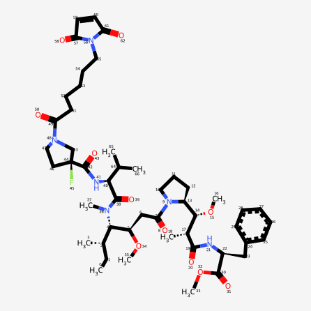 CC[C@H](C)[C@@H]([C@@H](CC(=O)N1CCC[C@H]1[C@H](OC)[C@@H](C)C(=O)N[C@@H](Cc1ccccc1)C(=O)OC)OC)N(C)C(=O)[C@@H](NC(=O)[C@]1(F)CCN(C(=O)CCCCCN2C(=O)C=CC2=O)C1)C(C)C